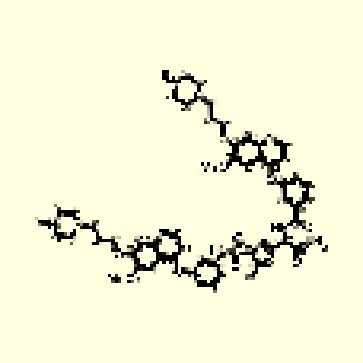 COc1cc2c(Oc3cccc(NS(=O)(=O)c4sc(C(NC(=O)c5cccc(Oc6ccnc7cc(OCCCN8CCN(C)CC8)c(OC)cc67)c5)C(N)=O)nc4C)c3)ccnc2cc1OCCCN1CCN(C)CC1